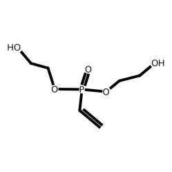 C=CP(=O)(OCCO)OCCO